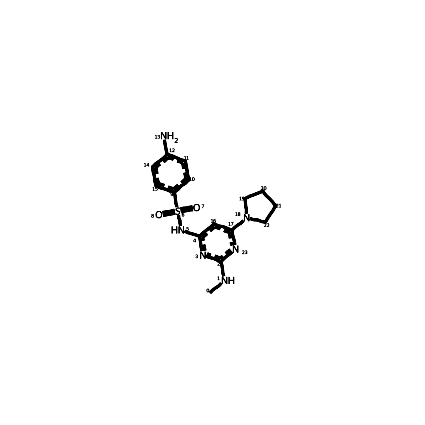 CNc1nc(NS(=O)(=O)c2ccc(N)cc2)cc(N2CCCC2)n1